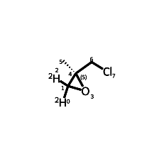 [2H]C1([2H])O[C@]1(C)CCl